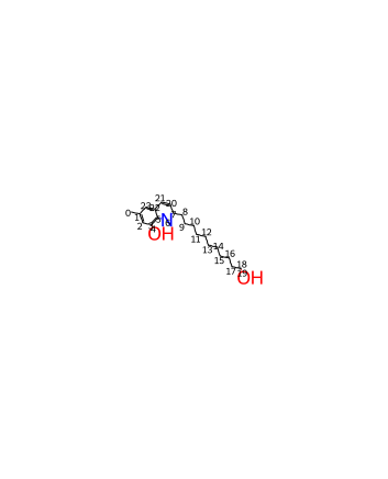 Cc1cc(O)c2nc(CCCCCCCCCCCO)ccc2c1